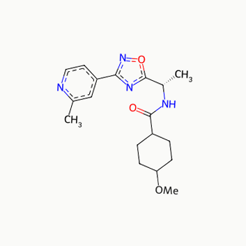 COC1CCC(C(=O)N[C@@H](C)c2nc(-c3ccnc(C)c3)no2)CC1